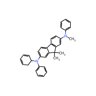 CN(c1ccccc1)c1ccc2c(c1)C(C)(C)c1cc(N(c3ccccc3)C3C=CC=CC3)ccc1-2